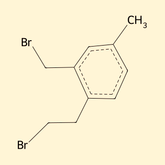 Cc1ccc(CCBr)c(CBr)c1